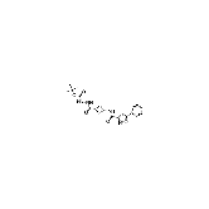 CC(C)(C)OC(=O)NNC(=O)[C@H]1C[C@@H](NC(=O)c2cc(-c3ccccc3)on2)C1